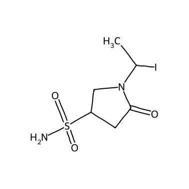 CC(I)N1CC(S(N)(=O)=O)CC1=O